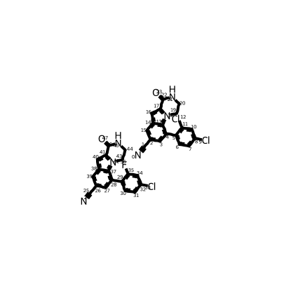 N#Cc1cc(-c2ccc(Cl)cc2Cl)c2c(c1)cc1n2CCNC1=O.N#Cc1cc(-c2ccc(Cl)cc2F)c2c(c1)cc1n2CCNC1=O